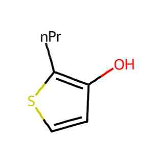 CCCc1sccc1O